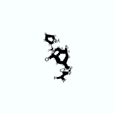 O=C1c2cc(-c3nnc(C(F)F)o3)cc(F)c2CN1C[C@@H]1CCCN1